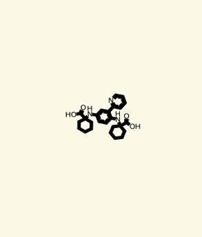 O=C(O)C1(Nc2ccc(NC3(C(=O)O)CCCCC3)c(-c3ccccn3)c2)CCCCC1